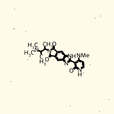 CNc1cc[nH]c(=O)c1-c1nc2cc3c(cc2[nH]1)C(=O)N(C(C)C(C)N(C)C)C3=O